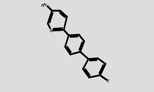 CCCc1ccc(-c2ccc(-c3ccc(F)cc3)cc2)nc1